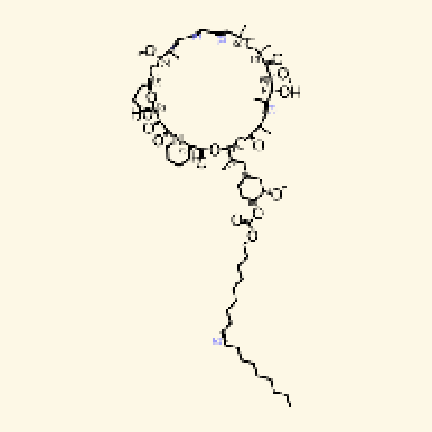 CCCCCCCC/C=C\CCCCCCCCOC(=O)O[C@@H]1CC[C@@H](C[C@@H](C)[C@@H]2CC(=O)C(C)/C=C(\C)[C@@H](O)[C@@H](OC)C(=O)[C@H](C)C[C@H](C)/C=C/C=C/C=C(\C)[C@@H](OC)C[C@@H]3CC[C@@H](C)[C@@](O)(O3)C(=O)C(=O)N3CCCC[C@H]3C(=O)O2)C[C@H]1OC